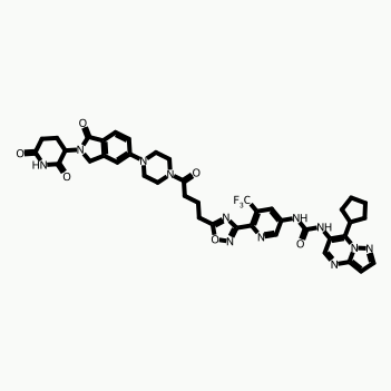 O=C1CCC(N2Cc3cc(N4CCN(C(=O)CCCc5nc(-c6ncc(NC(=O)Nc7cnc8ccnn8c7C7CCCC7)cc6C(F)(F)F)no5)CC4)ccc3C2=O)C(=O)N1